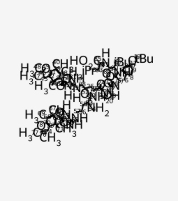 CC[C@H](C)[C@H](NC(=O)[C@H](Cc1ccc(OC(C)(C)C)cc1)NC(=O)[C@@H]1CCCN1C(=O)[C@H](CCCNC(=N)NS(=O)(=O)c1c(C)c(C)c2c(c1C)CC(C)(C)O2)NC(=O)[C@@H](N)CCCNC(=N)NS(=O)(=O)c1c(C)c(C)c2c(c1C)CC(C)(C)O2)C(=O)N[C@@H](CC(C)C)C(=O)O